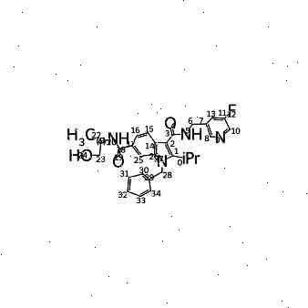 CC(C)c1c(C(=O)NCc2cncc(F)c2)c2ccc(C(=O)N[C@@H](C)CO)cc2n1Cc1ccccc1